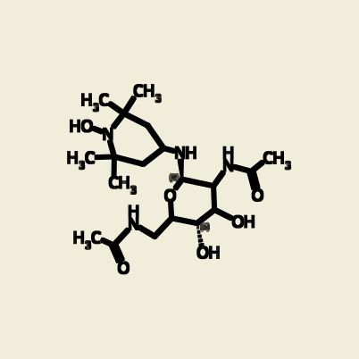 CC(=O)NCC1O[C@@H](NC2CC(C)(C)N(O)C(C)(C)C2)C(NC(C)=O)C(O)[C@@H]1O